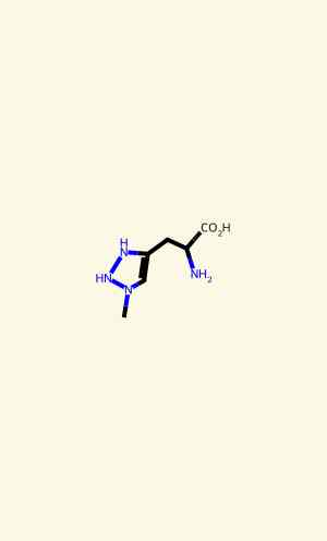 CN1C=C(CC(N)C(=O)O)NN1